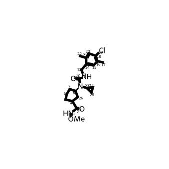 CONC(=O)C1CCC[C@@H](N(C(=O)NCc2cc(C)c(Cl)cc2C)C2CC2)C1